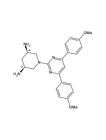 COc1ccc(-c2cc(-c3ccc(OC)cc3)nc(N3C[C@H](N)C[C@H](N)C3)n2)cc1